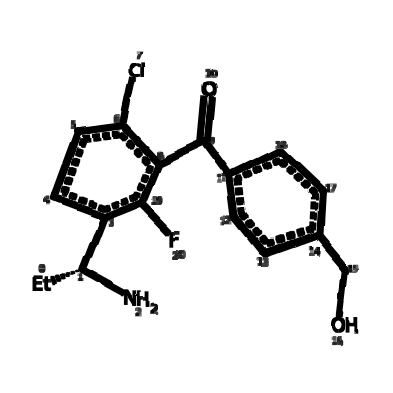 CC[C@@H](N)c1ccc(Cl)c(C(=O)c2ccc(CO)cc2)c1F